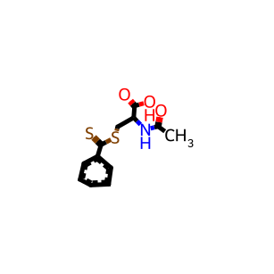 CC(=O)NC(CSC(=S)c1ccccc1)C(=O)O